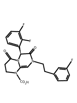 O=C1[C@H](c2cccc(F)c2F)N2C(=O)CCN(C(=O)O)C2=CN1CCc1cccc(F)c1